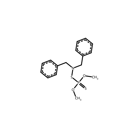 COP(=S)(OC)SN(Cc1ccccc1)Cc1ccccc1